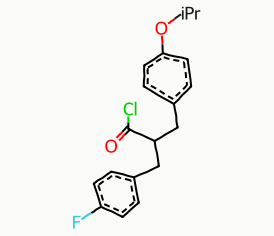 CC(C)Oc1ccc(CC(Cc2ccc(F)cc2)C(=O)Cl)cc1